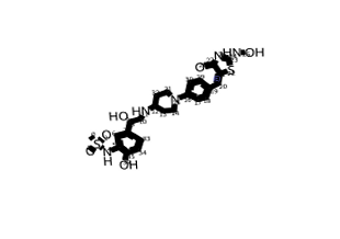 CS(=O)(=O)Nc1cc(C(O)CNC2CCN(c3ccc(/C=C4/SC(NO)=NC4=O)cc3)CC2)ccc1O